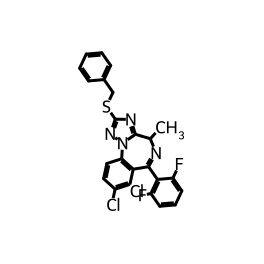 CC1N=C(c2c(F)cccc2F)c2c(ccc(Cl)c2Cl)-n2nc(SCc3ccccc3)nc21